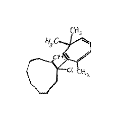 CC1=CC=CC(C)(C)C=C1C1(Cl)CCCCCCCC1C